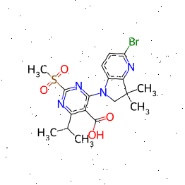 CC(C)c1nc(S(C)(=O)=O)nc(N2CC(C)(C)c3nc(Br)ccc32)c1C(=O)O